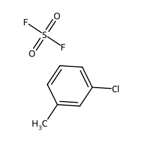 Cc1cccc(Cl)c1.O=S(=O)(F)F